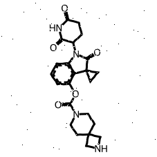 O=C1CCC(N2C(=O)C3(CC3)c3c(OC(=O)N4CCC5(CC4)CNC5)cccc32)C(=O)N1